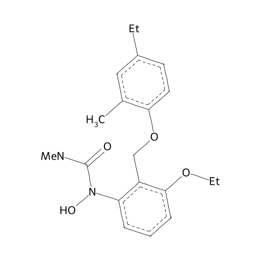 CCOc1cccc(N(O)C(=O)NC)c1COc1ccc(CC)cc1C